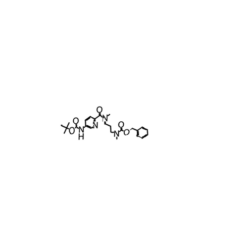 CN(CCCN(C)C(=O)c1ccc(NC(=O)OC(C)(C)C)cn1)C(=O)OCc1ccccc1